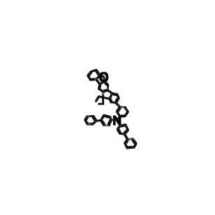 CCC1(CC)c2cc(C3=CC(N(c4ccc(-c5ccccc5)cc4)c4ccc(-c5ccccc5)cc4)=CCC3)ccc2-c2cc3oc4ccccc4c3cc21